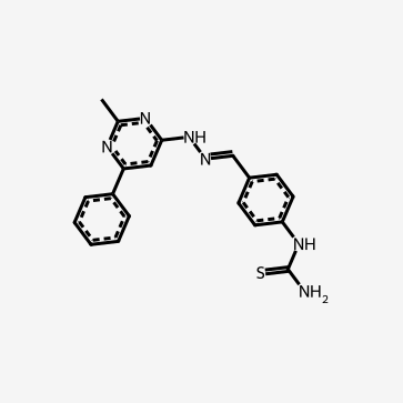 Cc1nc(N/N=C/c2ccc(NC(N)=S)cc2)cc(-c2ccccc2)n1